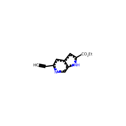 C#Cc1cc2cc(C(=O)OCC)[nH]c2cn1